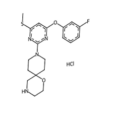 CSc1cc(Oc2cccc(F)c2)nc(N2CCC3(CC2)CNCCO3)n1.Cl